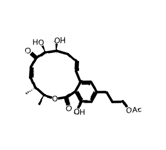 CC(=O)OCCCc1cc(O)c2c(c1)/C=C/C[C@H](O)[C@H](O)C(=O)/C=C\[C@@H](C)[C@H](C)OC2=O